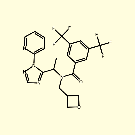 CC(c1ncnn1-c1ccccn1)N(CC1COC1)C(=O)c1cc(C(F)(F)F)cc(C(F)(F)F)c1